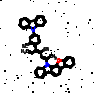 C=C/C(=C(C#N)\C=C(/C)n1c2ccccc2c2ccc3c4ccccc4oc3c21)c1ccc(-n2c3ccccc3c3ccccc32)cc1C#N